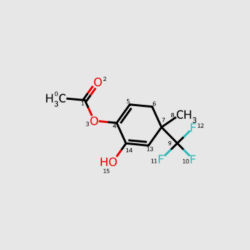 CC(=O)OC1=CCC(C)(C(F)(F)F)C=C1O